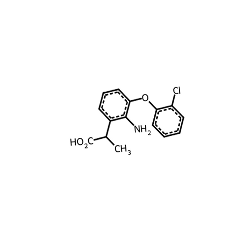 CC(C(=O)O)c1cccc(Oc2ccccc2Cl)c1N